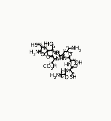 CC(C)(N)C(=O)NC(CS)C(=O)NC(CO)C(=O)NC(CCCN)C(=O)NC(CC(=O)O)C(=O)NC(CO)C(=O)NC(CS)C(N)=O